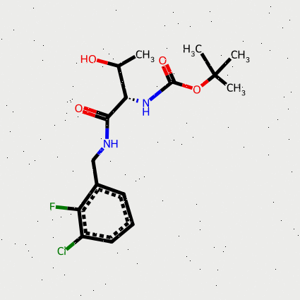 CC(O)[C@H](NC(=O)OC(C)(C)C)C(=O)NCc1cccc(Cl)c1F